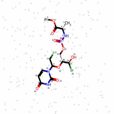 CC(C)OC(=O)[C@H](C)N[PH](=O)OC[C@@H](OC(CF)n1ccc(=O)[nH]c1=O)[C@@H](O)Br